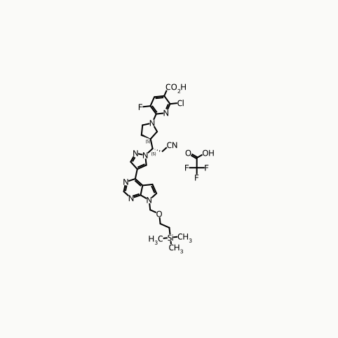 C[Si](C)(C)CCOCn1ccc2c(-c3cnn([C@@H](CC#N)[C@H]4CCN(c5nc(Cl)c(C(=O)O)cc5F)C4)c3)ncnc21.O=C(O)C(F)(F)F